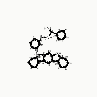 N=C(NNc1cccc(-n2c3ccccc3c3cc4c(cc32)sc2ccccc24)c1)c1ccccc1